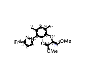 CO/C=C(\Oc1cc(-n2ccc(C(C)C)n2)c(C)cc1C)C(=O)OC